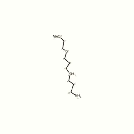 COCCOCCC[SiH2]CCCN